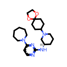 c1cc(N2CCCCCC2)nc(N[C@H]2CCCN(C3CCC4(CC3)OCCO4)C2)n1